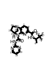 CC(NC(=O)c1ccc2c(n1)N(C(=O)Nc1ncccn1)[C@H]1CCN2C1)C(F)(F)F